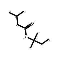 CCC(C)(C)OC(=O)CC(C)C